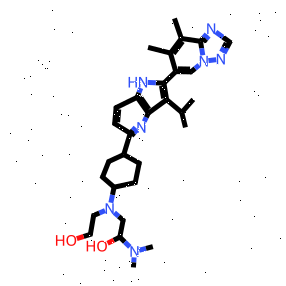 Cc1c(-c2[nH]c3ccc(C4CCC(N(CCO)CC(O)N(C)C)CC4)nc3c2C(C)C)cn2ncnc2c1C